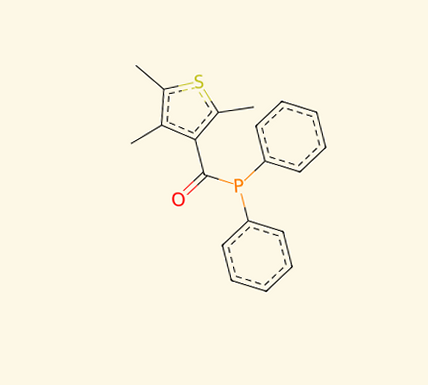 Cc1sc(C)c(C(=O)P(c2ccccc2)c2ccccc2)c1C